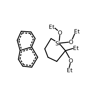 CCOC1(CC)CCCC[Si]1(OCC)OCC.c1ccc2ccccc2c1